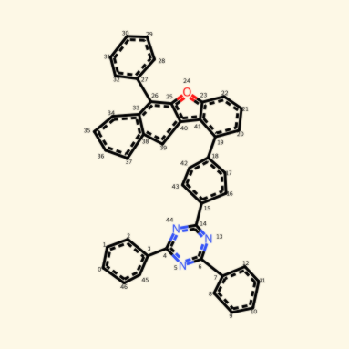 c1ccc(-c2nc(-c3ccccc3)nc(-c3ccc(-c4cccc5oc6c(-c7ccccc7)c7ccccc7cc6c45)cc3)n2)cc1